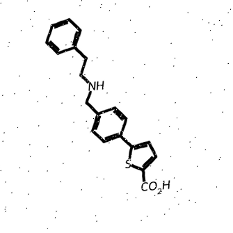 O=C(O)c1ccc(-c2ccc(CNCCc3ccccc3)cc2)s1